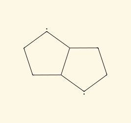 [CH]1CCC2[CH]CCC12